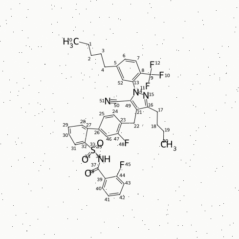 CCCCCc1ccc(C(F)(F)F)c(-n2nc(CCCC)c(Cc3ccc(-c4ccccc4S(=O)(=O)NC(=O)c4ccccc4F)cc3F)c2C#N)c1